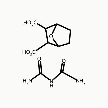 NC(=O)NC(N)=O.O=C(O)C1C2CCC(O2)C1C(=O)O